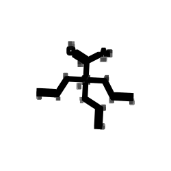 C=CC[Si](CC=C)(CC=C)C(=O)C(C)=O